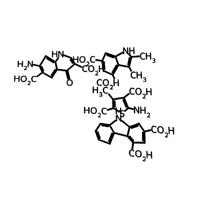 Cc1[nH]c2cc(C(=O)O)cc(C(=O)O)c2c1C.Cc1c(C(=O)O)sc(N)c1C(=O)O.Nc1cc2[nH]cc(C(=O)O)c(=O)c2cc1C(=O)O.O=C(O)c1cc(C(=O)O)c2c(c1)[nH]c1ccccc12